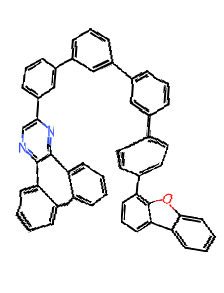 c1cc(-c2ccc(-c3cccc4c3oc3ccccc34)cc2)cc(-c2cccc(-c3cccc(-c4cnc5c6ccccc6c6ccccc6c5n4)c3)c2)c1